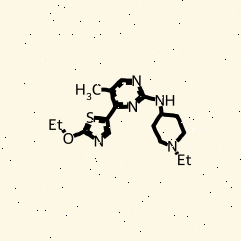 CCOc1ncc(-c2nc(NC3CCN(CC)CC3)ncc2C)s1